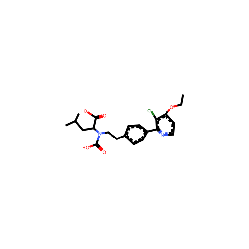 CCOc1ccnc(-c2ccc(CCN(C(=O)O)C(CC(C)C)C(=O)O)cc2)c1Cl